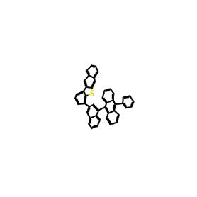 c1ccc(-c2c3ccccc3c(-c3cc(-c4cccc5c4sc4cc6ccccc6cc45)cc4ccccc34)c3ccccc23)cc1